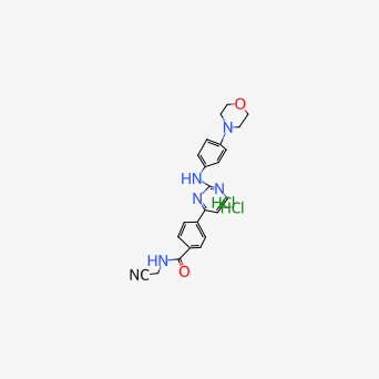 Cl.Cl.N#CCNC(=O)c1ccc(-c2ccnc(Nc3ccc(N4CCOCC4)cc3)n2)cc1